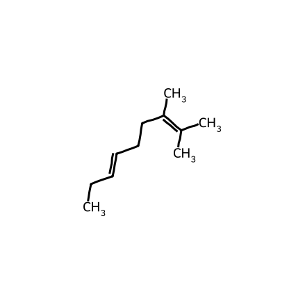 CCC=CCCC(C)=C(C)C